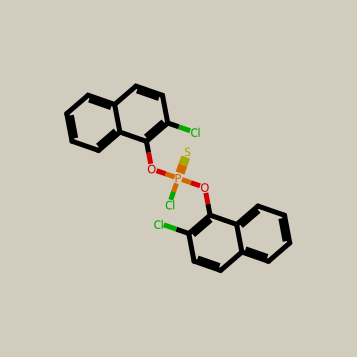 S=P(Cl)(Oc1c(Cl)ccc2ccccc12)Oc1c(Cl)ccc2ccccc12